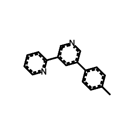 Cc1ccc(-c2cncc(-c3ccccn3)c2)cc1